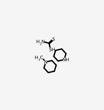 C1CCNCC1.CN1CCCCC1.NC(=S)S